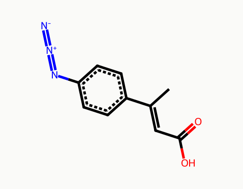 C/C(=C\C(=O)O)c1ccc(N=[N+]=[N-])cc1